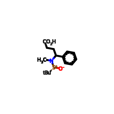 CN(C(CCC(=O)O)c1ccccc1)[S@+]([O-])C(C)(C)C